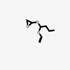 C=COC(CCC)OC1CO1